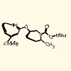 COc1ccnc(OC2CCC(C)N(C(=O)OC(C)(C)C)C2)c1